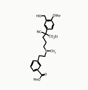 CCOC(=O)C(C#N)(CCCN(C)CCc1cccc(C(=O)OC)c1)c1ccc(OC)c(CO)c1